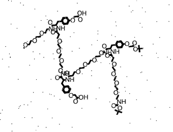 COCCOCCOCCNC(=O)C(Cc1ccc(OCC(=O)O)cc1)NC(=O)CCOCCOCCOCCONC(=O)C(Cc1ccc(OCC(=O)O)cc1)NC(=O)CCOCCOCCOCCONC(=O)C(Cc1ccc(OCC(=O)OC(C)(C)C)cc1)NC(=O)CCOCCOCCOCCOCCNC(=O)OC(C)(C)C